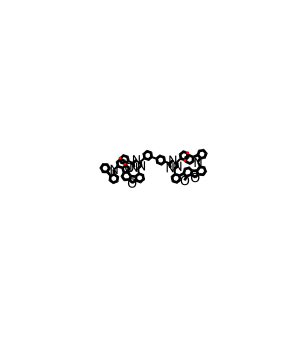 c1ccc(-c2nc(-c3ccc(-c4cccc(-c5nc(-c6ccccc6)nc(-c6cccc7oc8ccc9c(oc%10cccc(-n%11c%12ccccc%12c%12ccccc%12%11)c%109)c8c67)n5)c4)cc3)nc(-c3cccc4oc5c(ccc6c5oc5cccc(-n7c8ccccc8c8ccccc87)c56)c34)n2)cc1